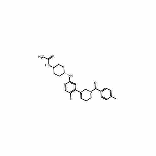 CC(=O)N[C@H]1CC[C@H](Nc2ncc(Cl)c(C3=CCCN(C(=O)c4ccc(F)cc4)C3)n2)CC1